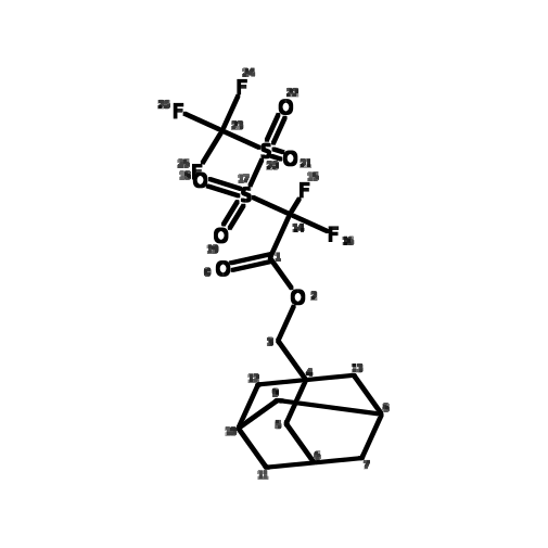 O=C(OCC12CC3CC(CC(C3)C1)C2)C(F)(F)S(=O)(=O)S(=O)(=O)C(F)(F)F